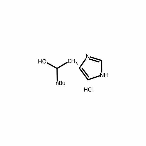 CCCCC(C)O.Cl.c1c[nH]cn1